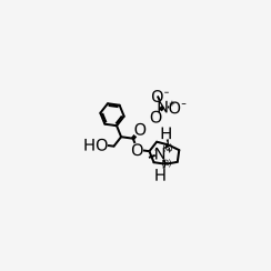 C[N+]1(C)[C@@H]2CC[C@H]1CC(OC(=O)C(CO)c1ccccc1)C2.O=[N+]([O-])[O-]